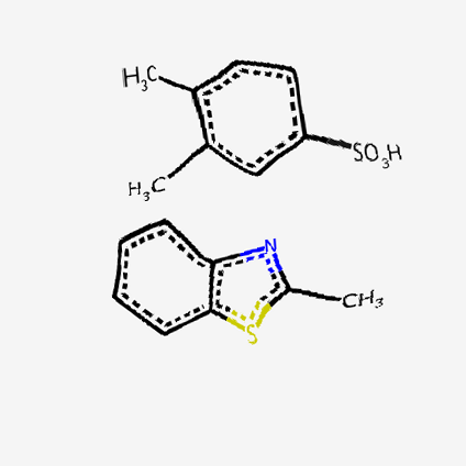 Cc1ccc(S(=O)(=O)O)cc1C.Cc1nc2ccccc2s1